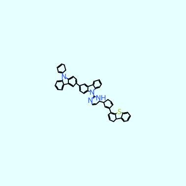 C1=CCCC(n2c3ccccc3c3cc(-c4ccc5c(c4)c4ccccc4n5C4=NC=CC(C5C=C(C6=C7Sc8ccccc8C7CC=C6)C=CC5)N4)ccc32)=C1